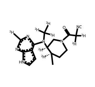 [2H]c1nc(N(C([2H])([2H])[2H])[C@@]2([2H])CN(C(=O)C([2H])([2H])[N+]#[C-])CC[C@@]2([2H])C)c2cc[nH]c2n1